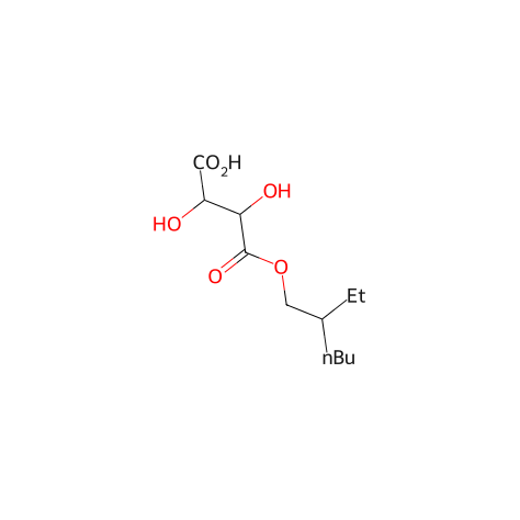 CCCCC(CC)COC(=O)C(O)C(O)C(=O)O